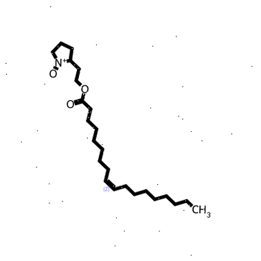 CCCCCCCC/C=C\CCCCCCCC(=O)OCCC1CCC[N+]1=O